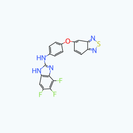 Fc1cc2[nH]c(Nc3ccc(Oc4ccc5nsnc5c4)cc3)nc2c(F)c1F